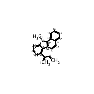 C=CC(=C)c1ncnc2c1c1ccc3ccccc3c1n2C